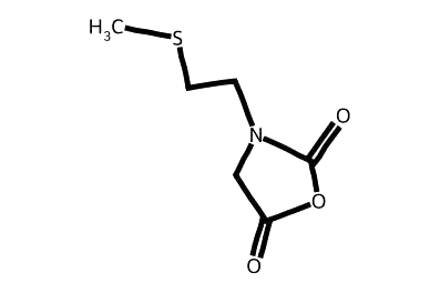 CSCCN1CC(=O)OC1=O